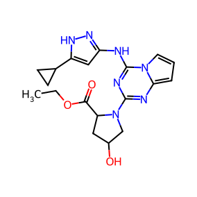 CCOC(=O)C1CC(O)CN1c1nc(Nc2cc(C3CC3)[nH]n2)n2cccc2n1